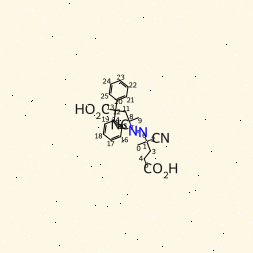 CC(C#N)(CCC(=O)O)N=NC(C)(C#N)CC(C(=O)O)(c1ccccc1)c1ccccc1